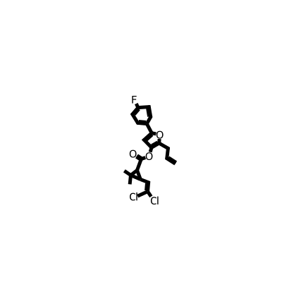 C=CCc1oc(-c2ccc(F)cc2)cc1OC(=O)C1C(C=C(Cl)Cl)C1(C)C